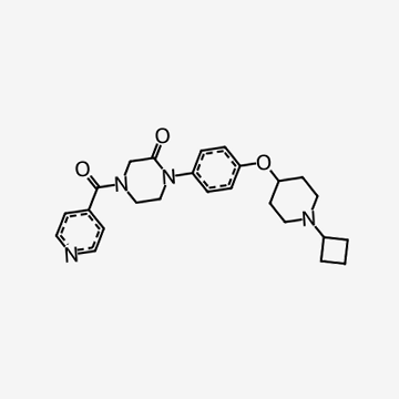 O=C(c1ccncc1)N1CCN(c2ccc(OC3CCN(C4CCC4)CC3)cc2)C(=O)C1